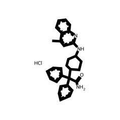 Cc1cc(NC2CCC(C(C(N)=O)(c3ccccc3)c3ccccc3)CC2)nc2ccccc12.Cl